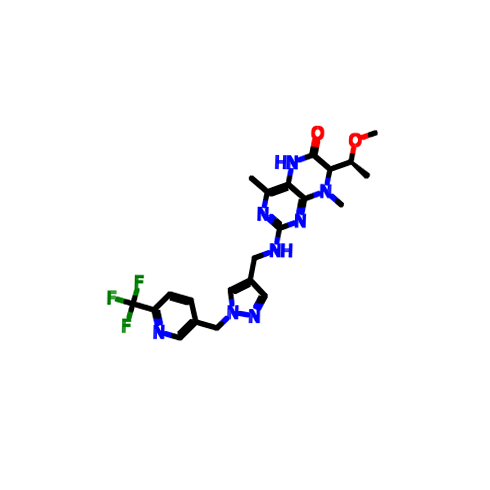 CO[C@@H](C)C1C(=O)Nc2c(C)nc(NCc3cnn(Cc4ccc(C(F)(F)F)nc4)c3)nc2N1C